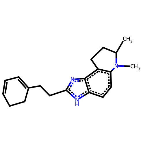 CC1CCc2c(ccc3[nH]c(CCC4=CC=CCC4)nc23)N1C